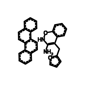 NC1=C(Cc2ccco2)c2ccccc2ON1.c1ccc2c(c1)ccc1c3ccccc3ccc21